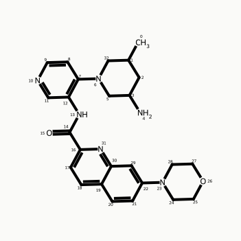 CC1CC(N)CN(c2ccncc2NC(=O)c2ccc3ccc(N4CCOCC4)cc3n2)C1